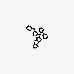 c1ccc(Nc2cccc(C3(c4ccc5c(c4)oc4ccccc45)c4ccccc4-c4ccccc43)c2)cc1